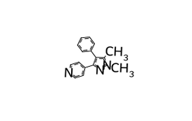 Cc1c(-c2ccccc2)c(-c2ccncc2)nn1C